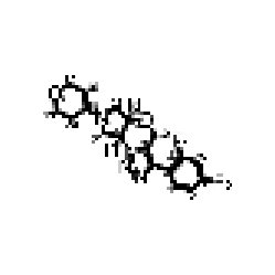 Fc1ccc(-c2nnn3c2CO[C@@H]2CN(C4CCOCC4)C[C@H]23)c(F)c1